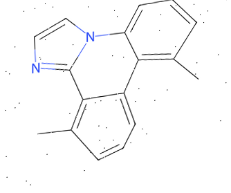 Cc1cccc2c1c1cccc(C)c1c1nccn21